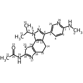 CNc1ccc(-c2nn(C(C)C)c3c2CCc2nc(NC(C)=O)sc2-3)cn1